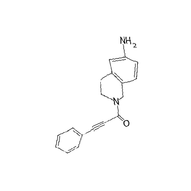 Nc1ccc2c(c1)CCN(C(=O)C#Cc1ccccc1)C2